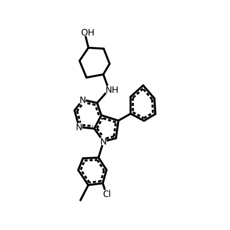 Cc1ccc(-n2cc(-c3ccccc3)c3c(NC4CCC(O)CC4)ncnc32)cc1Cl